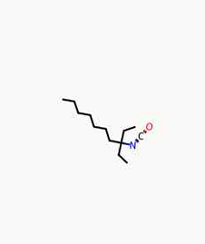 CCCCCCCC(CC)(CC)N=C=O